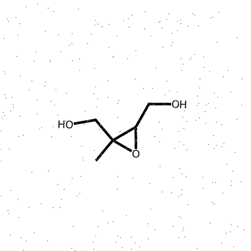 CC1(CO)OC1CO